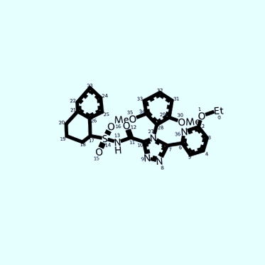 CCOc1cccc(-c2nnc(C(=O)NS(=O)(=O)C3CCCc4ccccc43)n2-c2c(OC)cccc2OC)n1